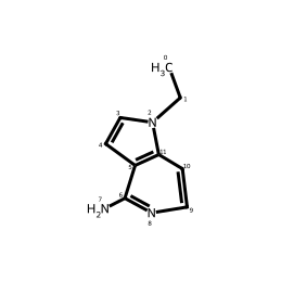 CCn1ccc2c(N)nccc21